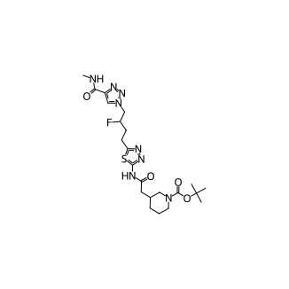 CNC(=O)c1cn(CC(F)CCc2nnc(NC(=O)CC3CCCN(C(=O)OC(C)(C)C)C3)s2)nn1